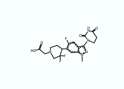 Cn1nc(N2CCC(=O)NC2=O)c2cc(F)c(C3CCN(CC(=O)O)CC3(F)F)cc21